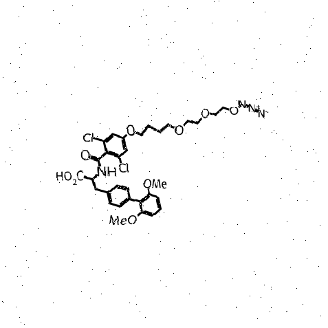 COc1cccc(OC)c1-c1ccc(CC(NC(=O)c2c(Cl)cc(OCCCCOCCOCCON=[N+]=[N-])cc2Cl)C(=O)O)cc1